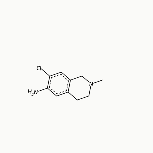 CN1CCc2cc(N)c(Cl)cc2C1